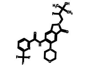 CC(C)(O)C(F)CN1Cc2cc(NC(=O)c3cccc(C(F)(F)F)n3)c(N3CCOCC3)cc2C1=O